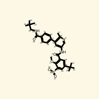 COc1c(C(=O)Nc2cnc(C)c(-c3ccc(C(=O)NCC(C)(C)C)cc3)c2)cc(C(C)(C)C)cc1[N+](=O)[O-]